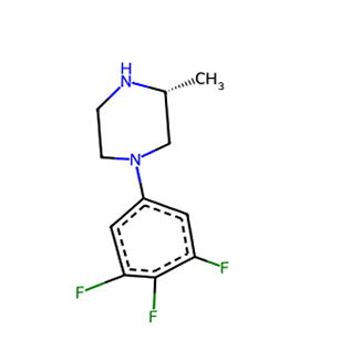 C[C@@H]1CN(c2cc(F)c(F)c(F)c2)CCN1